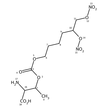 CC(OC(=O)OCCCCC(CO[N+](=O)[O-])O[N+](=O)[O-])C(N)C(=O)O